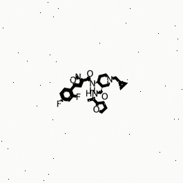 CC(NC(=O)[C@H]1CN(CC2CC2)CC[C@@H]1NC(=O)c1cc(-c2ccc(F)cc2F)on1)C1CCCO1